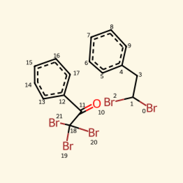 BrC(Br)Cc1ccccc1.O=C(c1ccccc1)C(Br)(Br)Br